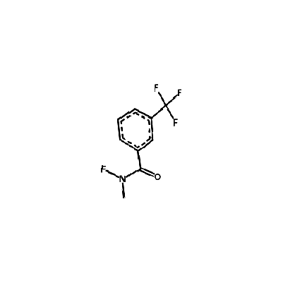 CN(F)C(=O)c1cccc(C(F)(F)F)c1